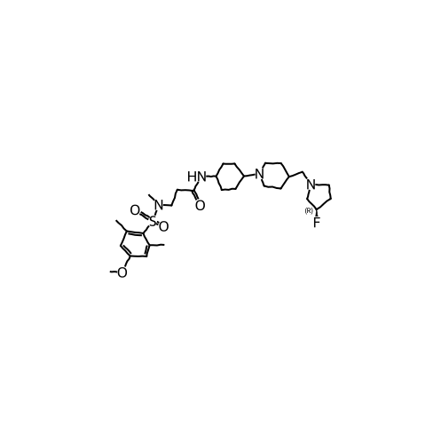 COc1cc(C)c(S(=O)(=O)N(C)CCC(=O)NC2CCC(N3CCC(CN4CC[C@@H](F)C4)CC3)CC2)c(C)c1